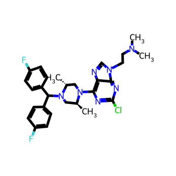 C[C@@H]1CN(c2nc(Cl)nc3c2ncn3CCN(C)C)[C@@H](C)CN1C(c1ccc(F)cc1)c1ccc(F)cc1